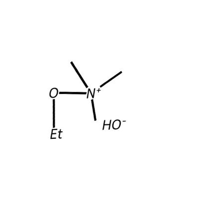 CCO[N+](C)(C)C.[OH-]